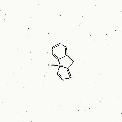 N[N+]12C=NC=C1Cc1ccccc12